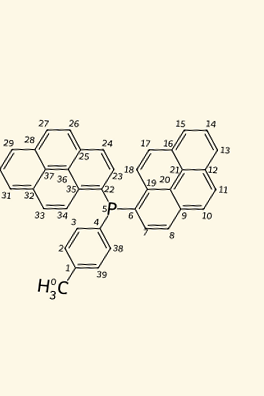 Cc1ccc(P(c2ccc3ccc4cccc5ccc2c3c45)c2ccc3ccc4cccc5ccc2c3c45)cc1